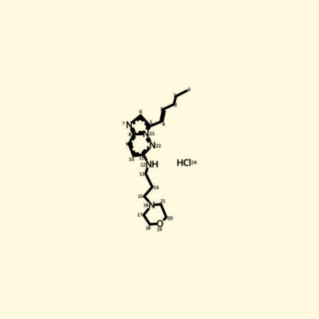 CCCC=Cc1cnc2ccc(NCCCN3CCOCC3)nn12.Cl